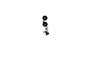 C=C(C)C(=O)OCOc1ccc([I+]c2ccccc2)cc1